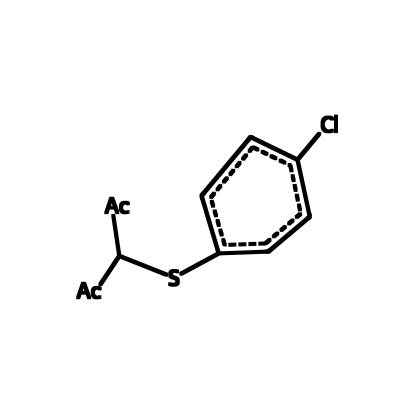 CC(=O)C(Sc1ccc(Cl)cc1)C(C)=O